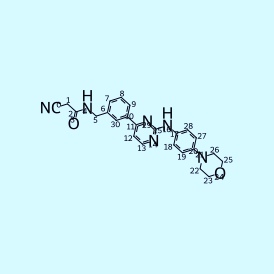 N#CCC(=O)NCc1cccc(-c2ccnc(Nc3ccc(N4CCOCC4)cc3)n2)c1